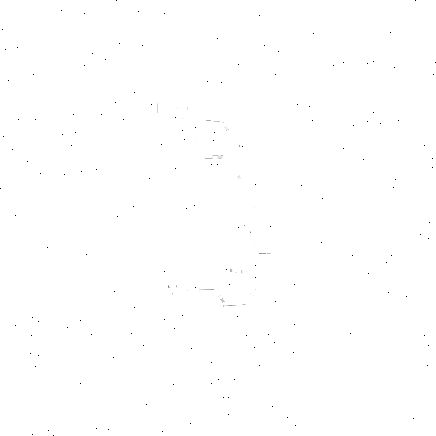 COc1cc(C(C)NCC#Cc2ccc(C(=O)O)cc2)ccc1F